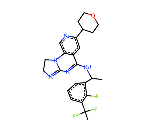 CC(NC1=NC2=NCCN2c2cnc(C3CCOCC3)cc21)c1cccc(C(C)(F)F)c1F